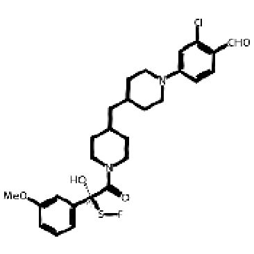 COc1cccc([C@](O)(SF)C(=O)N2CCC(CC3CCN(c4ccc(C=O)c(Cl)c4)CC3)CC2)c1